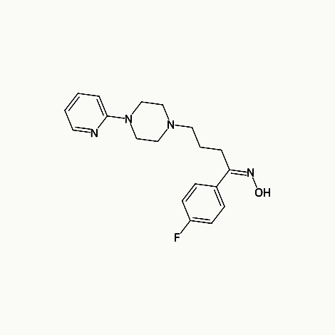 O/N=C(/CCCN1CCN(c2ccccn2)CC1)c1ccc(F)cc1